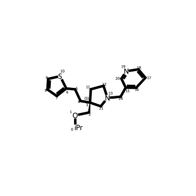 CC(C)OC[C@@]1(CCc2cccs2)CCN(Cc2cccnc2)C1